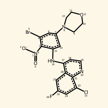 O=[N+]([O-])c1c(Br)cc(N2CCOCC2)cc1Nc1ccnc2c(Cl)cc(F)cc12